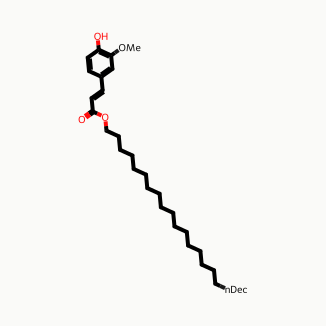 CCCCCCCCCCCCCCCCCCCCCCCCCCCOC(=O)C=Cc1ccc(O)c(OC)c1